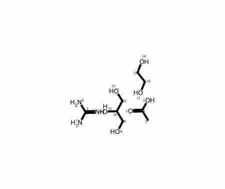 CC(=O)O.N=C(N)N.OCC(O)CO.OCCO